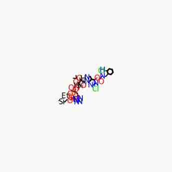 CCOP(=O)(OCC)C(CO)(Cc1nnnn1COCC[Si](C)(C)C)OC[C@H]1O[C@@H](n2ncc3c(OC(=O)NCc4ccccc4Cl)nc(Cl)nc32)[C@@H]2OC(C)(C)O[C@@H]21